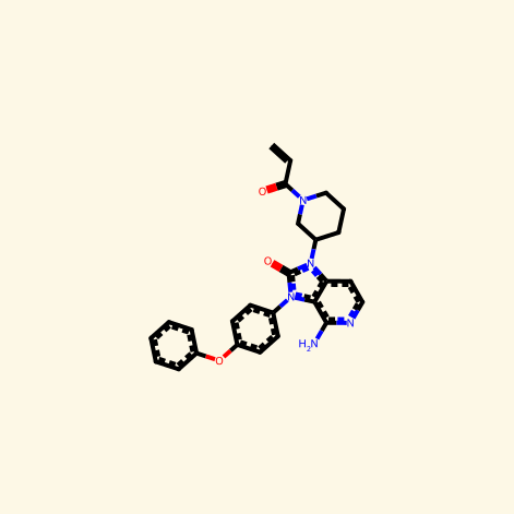 C=CC(=O)N1CCCC(n2c(=O)n(-c3ccc(Oc4ccccc4)cc3)c3c(N)nccc32)C1